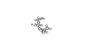 CC(C)(C)OC(=O)Nc1ccc(NC(=O)c2cccc(NC(=O)C3C(c4cc(Cl)cc(Cl)c4)C3(Cl)Cl)c2)c(CN)c1